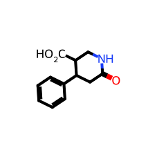 O=C1CC(c2ccccc2)C(C(=O)O)CN1